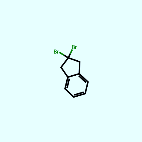 BrC1(Br)Cc2ccccc2C1